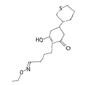 CCON=CCCCC1=C(O)CC(C2CCCSC2)CC1=O